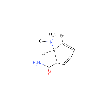 CCC1=CC=CC(C(N)=O)C1(CC)N(C)C